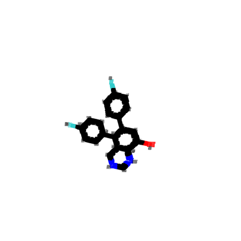 Oc1cc(-c2ccc(F)cc2)c(-c2ccc(F)cc2)c2cncnc12